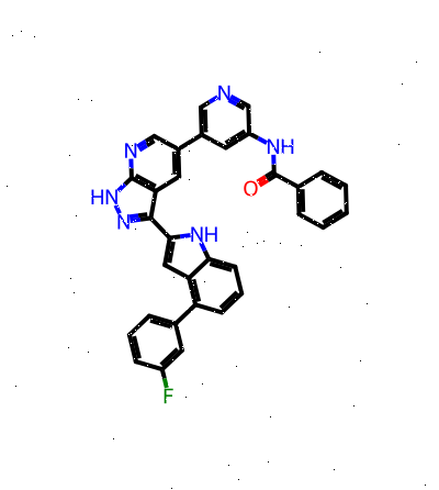 O=C(Nc1cncc(-c2cnc3[nH]nc(-c4cc5c(-c6cccc(F)c6)cccc5[nH]4)c3c2)c1)c1ccccc1